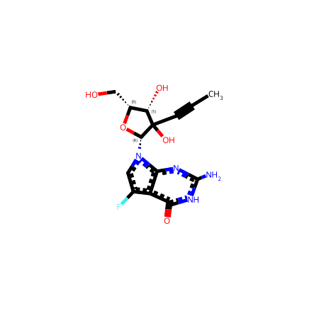 CC#CC1(O)[C@@H](O)[C@@H](CO)O[C@H]1n1cc(F)c2c(=O)[nH]c(N)nc21